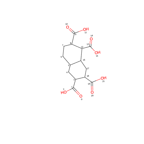 O=C(O)C1CC2CCC(C(=O)O)C(C(=O)O)C2CC1C(=O)O